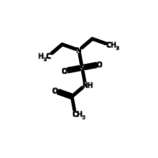 CCN(CC)S(=O)(=O)NC(C)=O